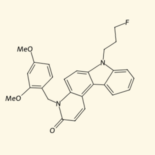 COc1ccc(Cn2c(=O)ccc3c4c5ccccc5n(CCCF)c4ccc32)c(OC)c1